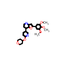 COc1cc(-c2cc3nccc(-c4ccc(OC5CCOCC5)nc4)c3o2)cc(OC)c1OC